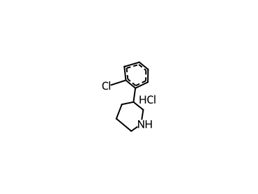 Cl.Clc1ccccc1C1CCCNC1